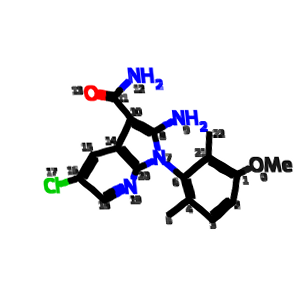 COc1ccc(C)c(-n2c(N)c(C(N)=O)c3cc(Cl)cnc32)c1C